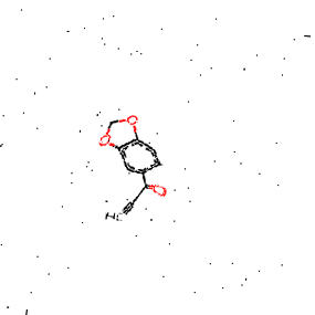 C#CC(=O)c1ccc2c(c1)OCO2